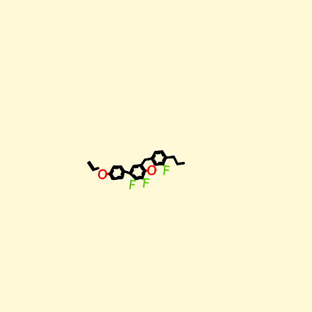 C=CCOc1ccc(-c2cc3c(c(F)c2F)Oc2c(ccc(CCC)c2F)C3)cc1